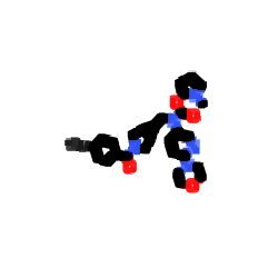 Cn1cccc1OC(=O)N(CC1C2CN(C(=O)c3ccc(C(C)(C)C)cc3)CC21)c1ccc(N2CCOCC2)nc1